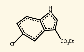 CCOC(=O)c1c[nH]c2ccc(Cl)cc12